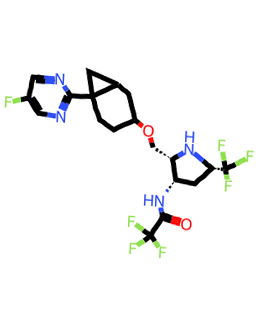 O=C(N[C@H]1C[C@@H](C(F)(F)F)N[C@H]1COC1CCC2(c3ncc(F)cn3)CC2C1)C(F)(F)F